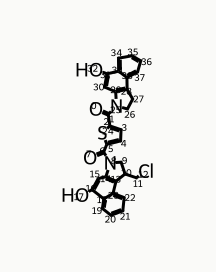 O=C(c1ccc(C(=O)N2CC(CCl)c3c2cc(O)c2ccccc32)s1)N1CCc2c1cc(O)c1ccccc21